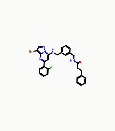 O=C(CCc1ccccc1)NCc1cccc(CNc2cc(-c3ccccc3Cl)nc3c(Br)cnn23)c1